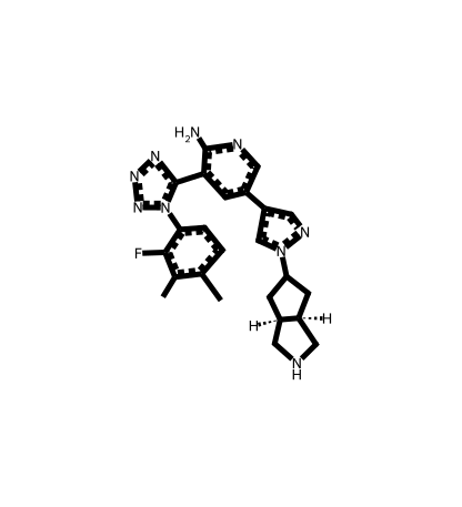 Cc1ccc(-n2nnnc2-c2cc(-c3cnn(C4C[C@H]5CNC[C@H]5C4)c3)cnc2N)c(F)c1C